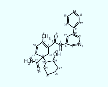 CC1=C(C(=O)Nc2cncc(-c3ccccc3)c2)CC(C(N)=O)([C@@H]2CCCC[C@@H]2O)C=C1